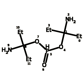 CCC(N)(CC)O[PH](=O)OC(N)(CC)CC